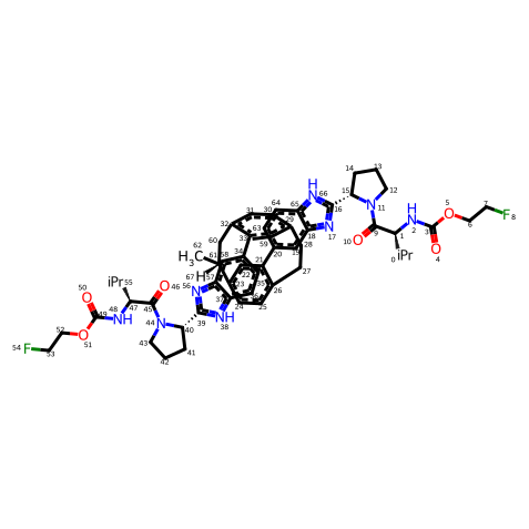 CC(C)[C@H](NC(=O)OCCF)C(=O)N1CCC[C@H]1c1nc2cc(-c3cc4ccc3CCc3ccc(c(-c5ccc6[nH]c([C@@H]7CCCN7C(=O)[C@@H](NC(=O)OCCF)C(C)C)nc6c5)c3)C[C@H]4C)ccc2[nH]1